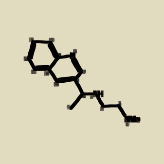 CNCCNC(C)c1cnc2ccccc2c1